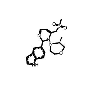 C[C@H]1COCCN1N1C(CS(C)(=O)=O)=CC=NC1c1ccc2[nH]ccc2c1